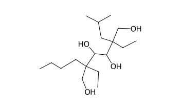 CCCCC(CC)(CO)C(O)C(O)C(CC)(CO)CC(C)C